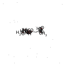 C[C@H]1CN(C(=O)CCCCCC#Cc2ccc3c(c2)n(C)c(=O)n3C2CCC(=O)NC2=O)CC[C@H]2CC[C@@H](C(=O)N[C@@H](CCC(N)=O)C(=O)NC(c3ccccc3)c3ccccc3)N2C1=O